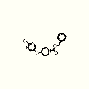 O=C(OCc1ccccc1)N1CCC(Oc2cnc(Cl)nc2)CC1